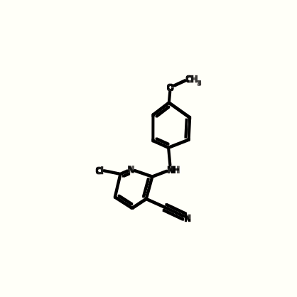 COc1ccc(Nc2nc(Cl)ccc2C#N)cc1